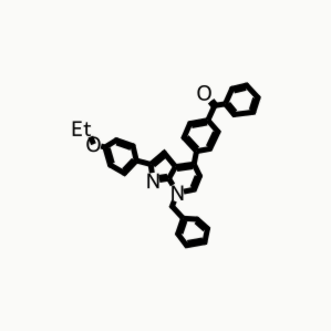 CCOc1ccc(-c2cc3c(-c4ccc(C(=O)c5ccccc5)cc4)ccn(Cc4ccccc4)c-3n2)cc1